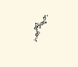 CC(C)OCCOc1ccc2c(COc3cccc4[nH]c(C(=O)N[C@H]5CC[C@](O)(CCN6CC[C@H](O)[C@@H](C)C6)CC5)cc34)coc2c1